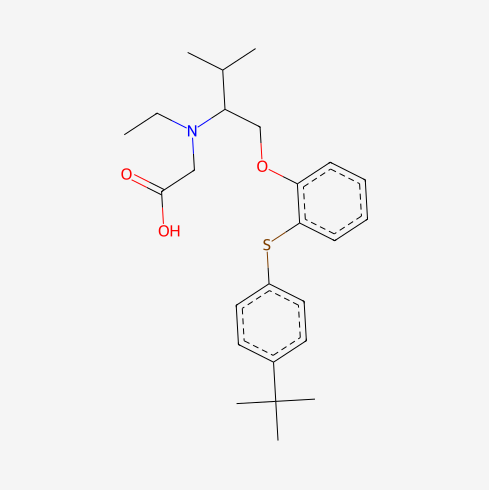 CCN(CC(=O)O)C(COc1ccccc1Sc1ccc(C(C)(C)C)cc1)C(C)C